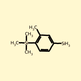 Cc1cc([SiH3])ccc1[Si](C)(C)C